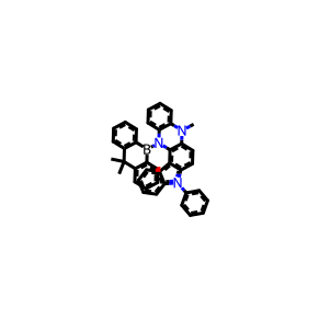 CN1c2ccccc2N(B2c3ccccc3C(C)(C)c3ccccc32)c2c1ccc1c2c2ccccc2n1-c1ccccc1